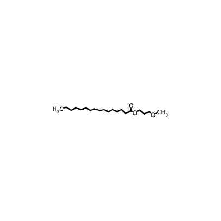 CCCCCCCCCCCCCCCC(=O)OCCCOC